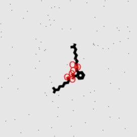 CC(C)CCCCCC(=O)OC(=O)c1ccccc1C(=O)OC(=O)CCCCCC(C)C